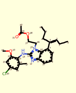 CC/C=C(/CCC)c1cccc2nc(Nc3c(C)cc(Cl)cc3OC)n(CCOC(C)=O)c12